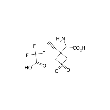 C#CC1([C@H](N)C(=O)O)CS(=O)(=O)C1.O=C(O)C(F)(F)F